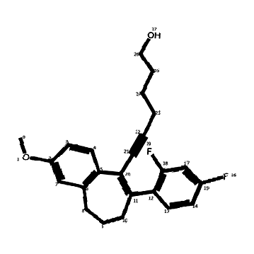 COc1ccc2c(c1)CCCC(c1ccc(F)cc1F)=C2C#CCCCCO